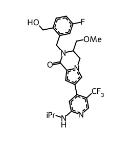 COCC1Cn2cc(-c3cc(NC(C)C)ncc3C(F)(F)F)cc2C(=O)N1Cc1cc(F)ccc1CO